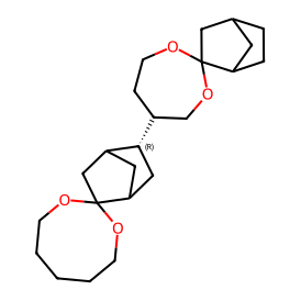 C1CCOC2(CC3CC2C[C@H]3C2CCOC3(CC4CCC3C4)OC2)OCC1